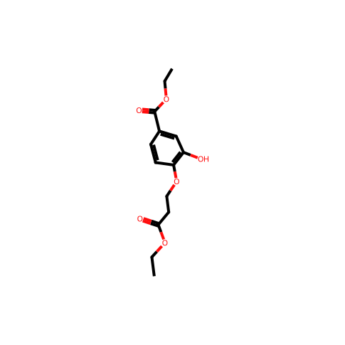 CCOC(=O)CCOc1ccc(C(=O)OCC)cc1O